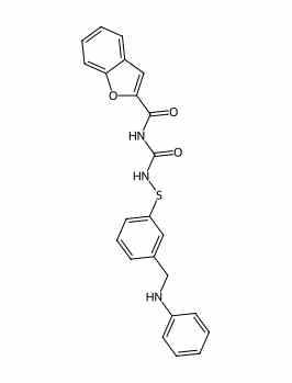 O=C(NSc1cccc(CNc2ccccc2)c1)NC(=O)c1cc2ccccc2o1